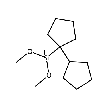 CO[SiH](OC)C1(C2CCCC2)CCCC1